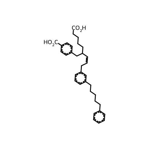 O=C(O)CCCCC(/C=C\Cc1cccc(CCCCCc2ccccc2)c1)Cc1ccc(C(=O)O)cc1